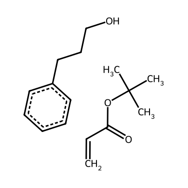 C=CC(=O)OC(C)(C)C.OCCCc1ccccc1